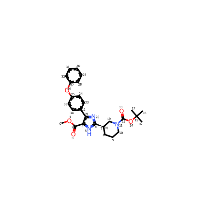 COC(=O)c1[nH]c([C@@H]2CCCN(C(=O)OC(C)(C)C)C2)nc1-c1ccc(Oc2ccccc2)cc1